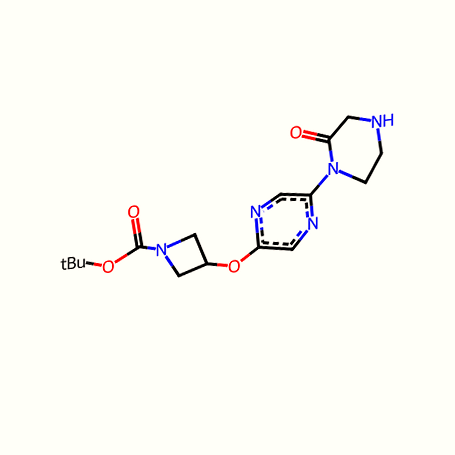 CC(C)(C)OC(=O)N1CC(Oc2cnc(N3CCNCC3=O)cn2)C1